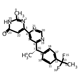 Cc1nc(-c2cc([C@@H](C)c3ccc(C(C)(F)F)cc3)ncn2)cc(=O)[nH]1